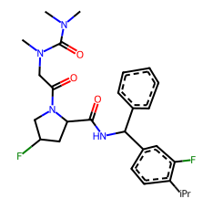 CC(C)c1ccc(C(NC(=O)C2CC(F)CN2C(=O)CN(C)C(=O)N(C)C)c2ccccc2)cc1F